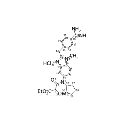 CCOC(=O)C(OC)C(=O)N(c1ccc2c(c1)nc(Cc1ccc(C(=N)N)cc1)n2C)C1CCCC1.Cl